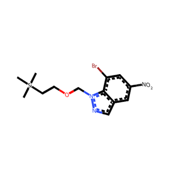 C[Si](C)(C)CCOCn1ncc2cc([N+](=O)[O-])cc(Br)c21